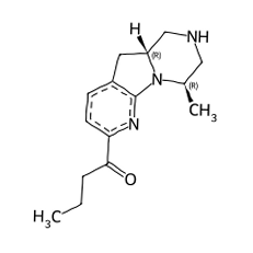 CCCC(=O)c1ccc2c(n1)N1[C@@H](CNC[C@H]1C)C2